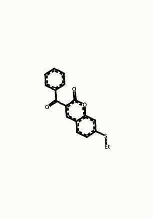 CCSc1ccc2cc(C(=O)c3ccccc3)c(=O)oc2c1